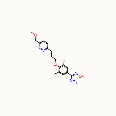 COCc1ccc(CCCOc2c(C)cc(C(N)=NO)cc2C)nn1